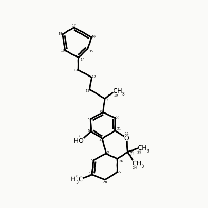 CC1=CC2c3c(O)cc(C(C)CCCc4ccccc4)cc3OC(C)(C)C2CC1